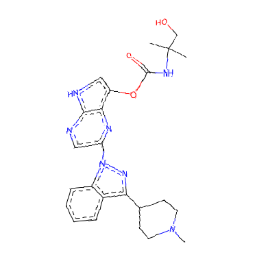 CN1CCC(c2nn(-c3cnc4[nH]cc(OC(=O)NC(C)(C)CO)c4n3)c3ccccc23)CC1